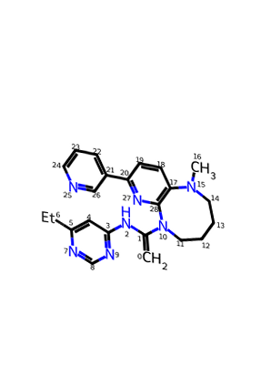 C=C(Nc1cc(CC)ncn1)N1CCCCN(C)c2ccc(-c3cccnc3)nc21